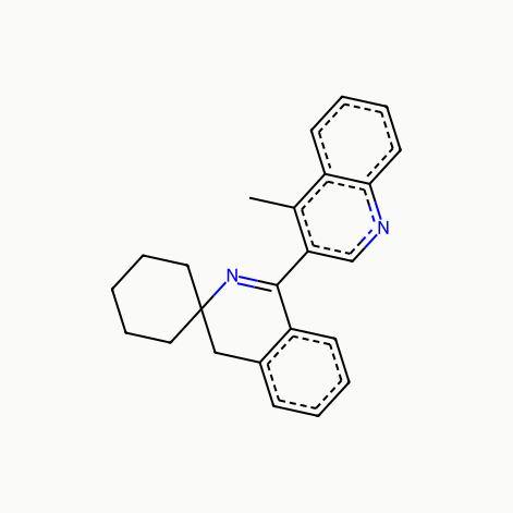 Cc1c(C2=NC3(CCCCC3)Cc3ccccc32)cnc2ccccc12